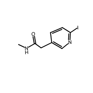 CNC(=O)Cc1ccc(I)nc1